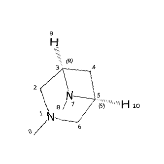 CN1C[C@H]2C[C@@H](C1)N2C